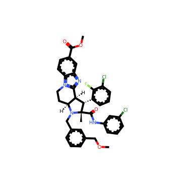 COCc1cccc(CN2[C@H]3CCn4c(nc5cc(C(=O)OC)ccc54)[C@H]3[C@H](c3cccc(Cl)c3F)[C@]2(C)C(=O)Nc2cccc(Cl)c2)c1